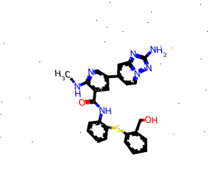 CNc1ncc(-c2ccn3nc(N)nc3c2)cc1C(=O)Nc1ccccc1Sc1ccccc1CO